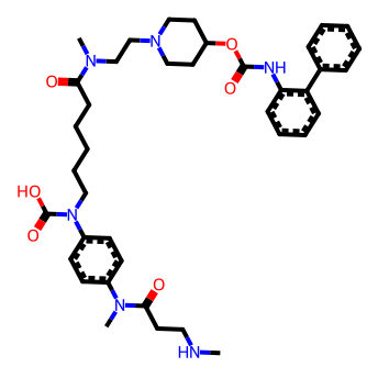 CNCCC(=O)N(C)c1ccc(N(CCCCCC(=O)N(C)CCN2CCC(OC(=O)Nc3ccccc3-c3ccccc3)CC2)C(=O)O)cc1